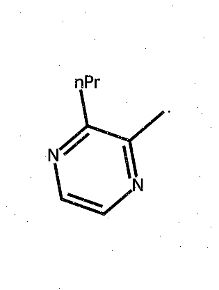 [CH2]c1nccnc1CCC